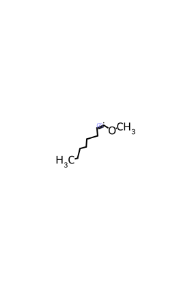 CCCCCC/C=[C]\OC